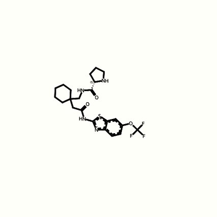 O=C(CC1(CNC(=O)[C@@H]2CCCN2)CCCCC1)Nc1nc2ccc(OC(F)(F)F)cc2s1